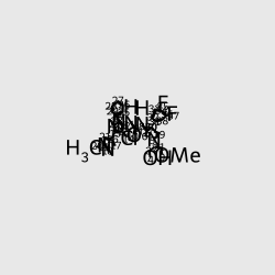 COCC(CO)N1C[C@@H](NC(=O)Nc2c(Cl)c(-c3cnn(C)c3)nn2-c2ccccc2)[C@H](c2ccc(F)c(F)c2)C1